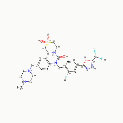 CN1CCN(Cc2ccc(N(Cc3ccc(-c4nnc(C(F)F)o4)cc3F)C(=O)N3CCS(=O)(=O)CC3)cc2)CC1